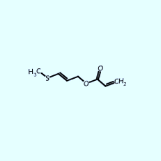 C=CC(=O)OCC=CSC